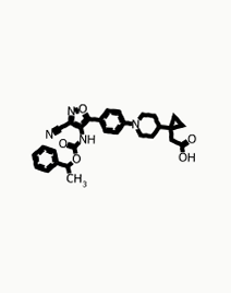 CC(OC(=O)Nc1c(C#N)noc1-c1ccc(N2CCC(C3(CC(=O)O)CC3)CC2)cc1)c1ccccc1